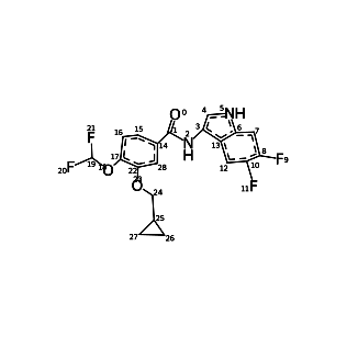 O=C(Nc1c[nH]c2cc(F)c(F)cc12)c1ccc(OC(F)F)c(OCC2CC2)c1